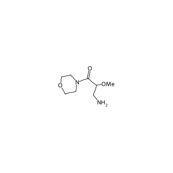 COC(CN)C(=O)N1CCOCC1